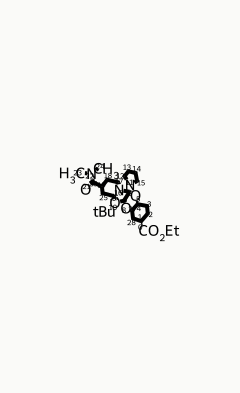 CCOC(=O)[C@H]1CC[C@H](OC(C(=O)OC(C)(C)C)(N2CCCC2)N2CCC(C(=O)N(C)C)CC2)CC1